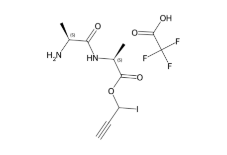 C#CC(I)OC(=O)[C@H](C)NC(=O)[C@H](C)N.O=C(O)C(F)(F)F